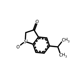 CC(C)c1ccc2c(c1)C(=O)C[S+]2[O-]